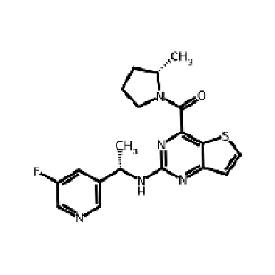 C[C@H](Nc1nc(C(=O)N2CCC[C@@H]2C)c2sccc2n1)c1cncc(F)c1